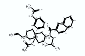 C=CCN1CC[C@@]2(c3cccc(OC(C)=O)c3)C[C@@H](N(CC(C)C)C(=O)c3ccc4ccccc4c3)CC[C@]2(OC(C)=O)C1